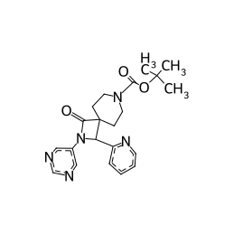 CC(C)(C)OC(=O)N1CCC2(CC1)C(=O)N(c1cncnc1)C2c1ccccn1